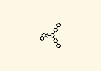 c1cncc(-c2ccc(-c3nc(-c4ccc(-c5cccnc5)cn4)nc(-c4cc5ccc6ccccc6n5n4)n3)nc2)c1